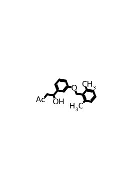 CC(=O)CC(O)c1cccc(OCc2c(C)cccc2C)c1